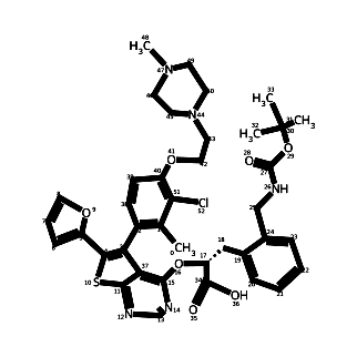 Cc1c(-c2c(-c3ccco3)sc3ncnc(O[C@H](Cc4ccccc4CNC(=O)OC(C)(C)C)C(=O)O)c23)ccc(OCCN2CCN(C)CC2)c1Cl